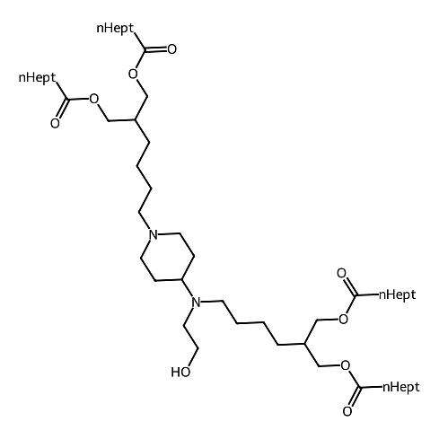 CCCCCCCC(=O)OCC(CCCCN1CCC(N(CCO)CCCCC(COC(=O)CCCCCCC)COC(=O)CCCCCCC)CC1)COC(=O)CCCCCCC